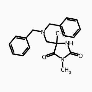 CN1C(=O)NC(C)(CN(Cc2ccccc2)Cc2ccccc2)C1=O